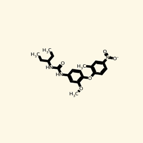 CCC(CC)NC(=O)Nc1ccc(Oc2ccc([N+](=O)[O-])cc2C)c(OC)c1